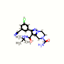 CC(C)(C)NC(=O)c1c(-c2cc(Cl)cc(C#N)c2)nn2c1CN(C(N)=O)CC2